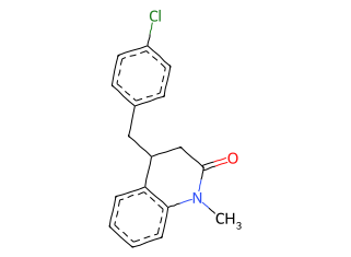 CN1C(=O)CC(Cc2ccc(Cl)cc2)c2ccccc21